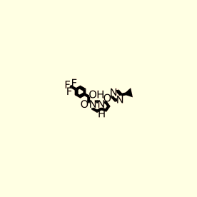 O=C(C(O)c1ccc(C(F)(F)F)cc1)N1CC[C@@H]2CC[C@H](Oc3cnc(C4CC4)cn3)N2C1